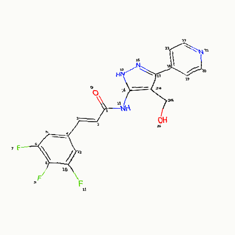 O=C(C=Cc1cc(F)c(F)c(F)c1)Nc1[nH]nc(-c2ccncc2)c1CO